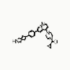 O=C(C1CC1)N1CCN(c2ccnn3cc(-c4ccc(C5CC6(CNC6)C5)cc4)cc23)CC1